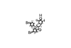 O=C(C(=Cc1cc(I)c(O)c(I)c1)SCc1ccc(Br)cc1)c1ccc(Br)cc1